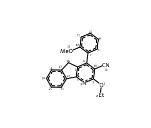 CCOc1nc2c(c(-c3ccccc3OC)c1C#N)Cc1ccccc1-2